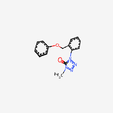 Cn1nnn(-c2ccccc2COc2ccccc2)c1=O